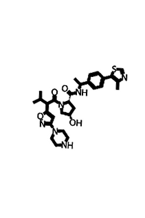 Cc1ncsc1-c1ccc(C(C)NC(=O)[C@@H]2C[C@@H](O)CN2C(=O)C(c2cc(N3CCNCC3)no2)C(C)C)cc1